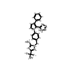 CCCCc1nc(C(F)(F)CCC)nn1Cc1ccc(-n2ccc(-c3ccccc3)c2-c2nnn[nH]2)cc1